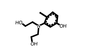 Cc1ccc(O)cc1N(CCO)CCO